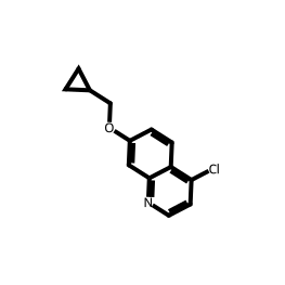 Clc1ccnc2cc(OCC3CC3)ccc12